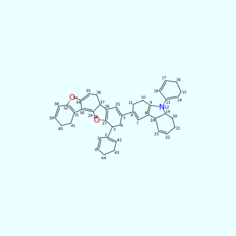 C1=CC(C2CC(C3=CC4=C(CC3)N(C3=CCCC=C3)C3CCC=CC43)=CC3=C2OC2=c4c5c(oc4=CCC32)C=CCC5)=CCC1